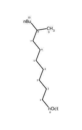 [CH2]CCCCCCCCCCCCCCC(C)CCC[CH2]